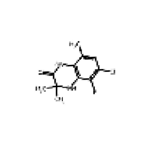 Cc1cc(Cl)c(F)c2c1NC(=O)C(C)(C)N2